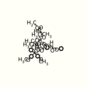 C=CCOC(=O)NCC(C)(C)C(=O)SCCOP(OC1C(COC(c2ccccc2)(c2ccc(OC)cc2)c2ccc(OC)cc2)OC(n2ccc(NC(=O)COc3ccccc3)nc2=O)C1F)N(C(C)C)C(C)C